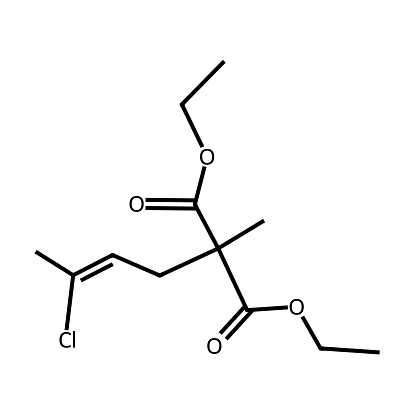 CCOC(=O)C(C)(CC=C(C)Cl)C(=O)OCC